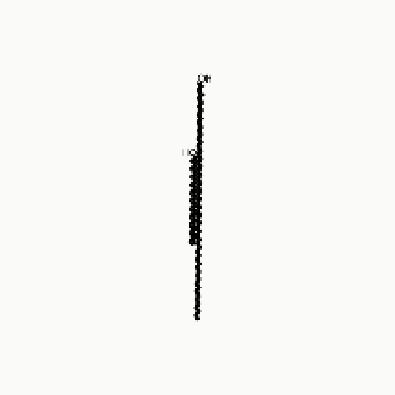 CCCCCCCCCCCCCCCCCCCCCCCCCCCCCCCCCCCCCCCCCCCCCCCCCCCCCCCCCCCCO.CCCCCCCCCCCCCCCCCCCCCCCO